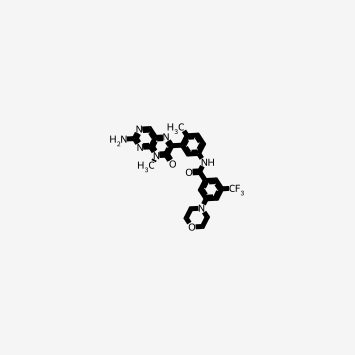 Cc1ccc(NC(=O)c2cc(N3CCOCC3)cc(C(F)(F)F)c2)cc1-c1nc2cnc(N)nc2n(C)c1=O